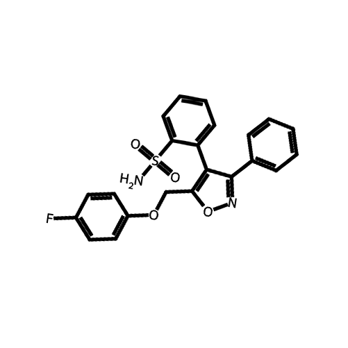 NS(=O)(=O)c1ccccc1-c1c(-c2ccccc2)noc1COc1ccc(F)cc1